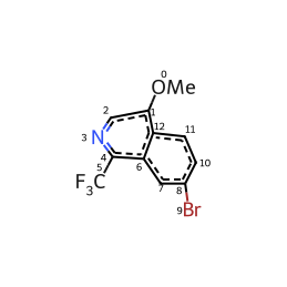 COc1cnc(C(F)(F)F)c2cc(Br)ccc12